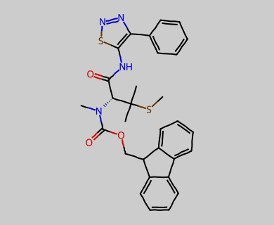 CSC(C)(C)[C@@H](C(=O)Nc1snnc1-c1ccccc1)N(C)C(=O)OCC1c2ccccc2-c2ccccc21